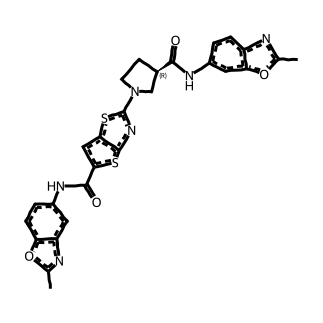 Cc1nc2cc(NC(=O)c3cc4sc(N5CC[C@@H](C(=O)Nc6ccc7nc(C)oc7c6)C5)nc4s3)ccc2o1